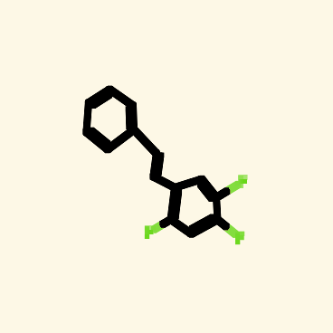 Fc1cc(F)c(C=Cc2ccccc2)cc1F